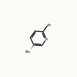 CC[C@@H](C)c1ccc(C(C)C)nc1